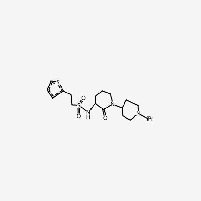 CC(C)N1CCC(N2CCC[C@H](NS(=O)(=O)CCc3cccs3)C2=O)CC1